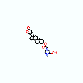 CN1CCN(CC(=O)OC2CCC3(C)C(CCC4C5=CCC(c6ccc(=O)oc6)C5(C)CCC43)C2)CC1CO